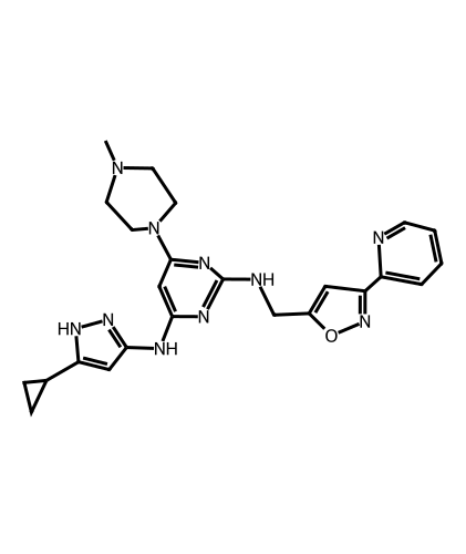 CN1CCN(c2cc(Nc3cc(C4CC4)[nH]n3)nc(NCc3cc(-c4ccccn4)no3)n2)CC1